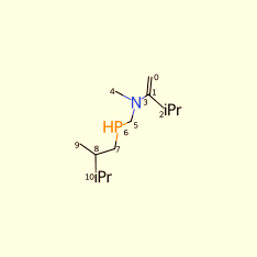 C=C(C(C)C)N(C)CPCC(C)C(C)C